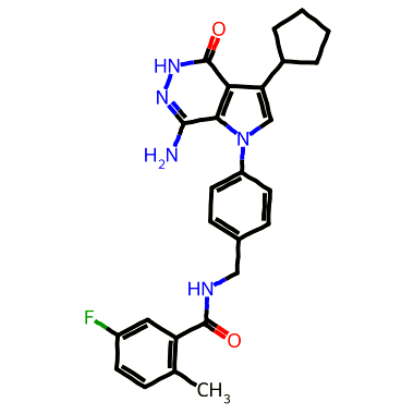 Cc1ccc(F)cc1C(=O)NCc1ccc(-n2cc(C3CCCC3)c3c(=O)[nH]nc(N)c32)cc1